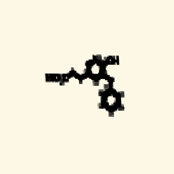 CCOC(=O)CCc1cnc(O)c(Cc2ccccc2)c1